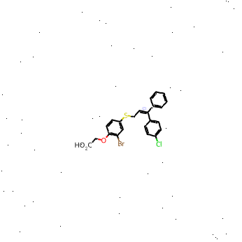 O=C(O)COc1ccc(SC/C=C(/c2ccccc2)c2ccc(Cl)cc2)cc1Br